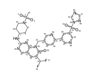 CS(=O)(=O)N1CCC(Nc2ncc3cc(C(F)F)c(=O)n(Cc4ccc(-c5cncc(S(=O)(=O)n6cncn6)c5)nc4)c3n2)CC1